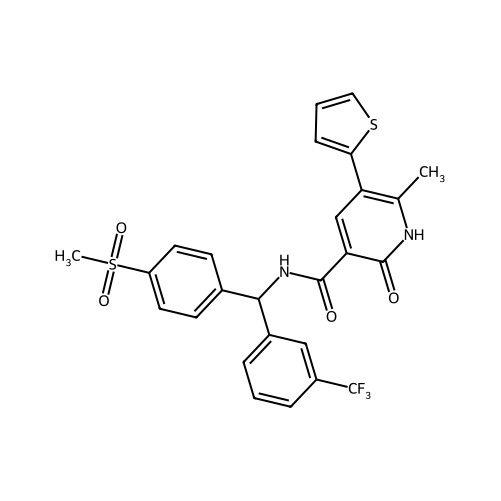 Cc1[nH]c(=O)c(C(=O)NC(c2ccc(S(C)(=O)=O)cc2)c2cccc(C(F)(F)F)c2)cc1-c1cccs1